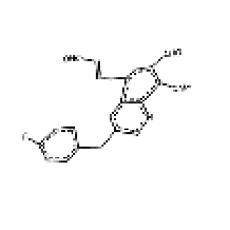 COc1c(C=O)cc(/C=C/C=O)c2cc(Cc3ccc(F)cc3)cnc12